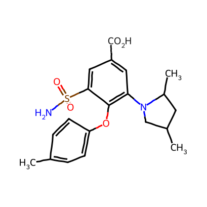 Cc1ccc(Oc2c(N3CC(C)CC3C)cc(C(=O)O)cc2S(N)(=O)=O)cc1